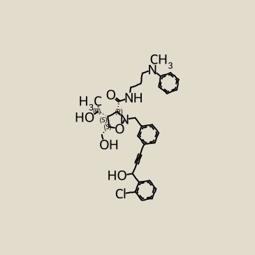 C[C@@H](O)[C@H]1[C@@H](CO)ON(Cc2cccc(C#CC(O)c3ccccc3Cl)c2)[C@H]1C(=O)NCCCN(C)c1ccccc1